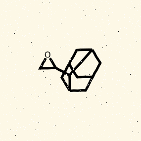 C1C2CC3CC1CC(C2)C3C1CO1